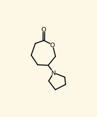 O=C1CCCC(N2CCCC2)CO1